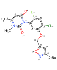 Cn1c(C(F)(F)F)cc(=O)n(-c2cc(OCc3cc(C(C)(C)C)no3)c(Cl)cc2F)c1=O